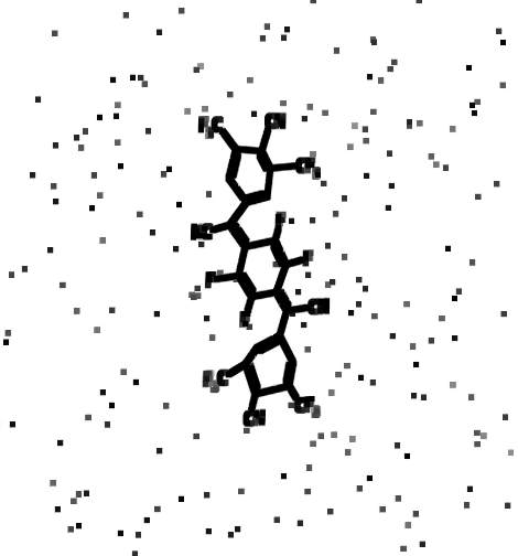 N#CC(c1cc(C(F)(F)F)c(C#N)c(C(F)(F)F)c1)=c1c(F)c(F)c(=C(C#N)c2cc(C(F)(F)F)c(C#N)c(C(F)(F)F)c2)c(F)c1F